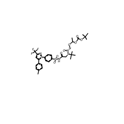 Cc1ccc(-c2cc(C(F)(F)F)nn2-c2ccc(S(=O)(=O)NC(=O)CN(/[N+]([O-])=N/OC(C)OC(=O)OC(C)(C)C)C(C)(C)C)cc2)cc1